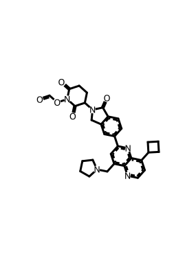 O=CON1C(=O)CCC(N2Cc3cc(-c4cc(CN5CCCC5)c5nccc(C6CCC6)c5n4)ccc3C2=O)C1=O